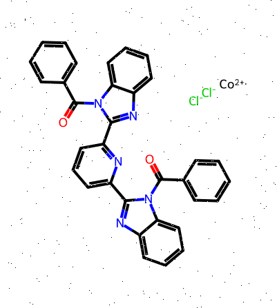 O=C(c1ccccc1)n1c(-c2cccc(-c3nc4ccccc4n3C(=O)c3ccccc3)n2)nc2ccccc21.[Cl-].[Cl-].[Co+2]